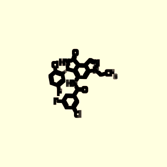 O=C(Nc1cc2c(cnn2CC(F)(F)F)c2c1[C@H](c1cc(F)ccc1Cl)NC2=O)c1cc(F)cc(Cl)c1